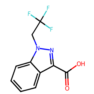 O=C(O)c1nn(CC(F)(F)F)c2ccccc12